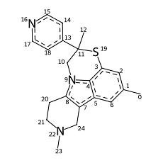 Cc1cc2c3c(c1)c1c(n3CC(C)(c3ccncc3)S2)CCN(C)C1